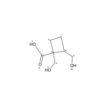 O=C(O)C1(CO)CCC1CO